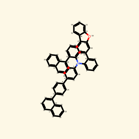 c1ccc(N(c2ccc(-c3ccc(-c4cccc5ccccc45)cc3)cc2)c2ccccc2-c2cccc3ccccc23)c(-c2ccc3c(c2)oc2ccccc23)c1